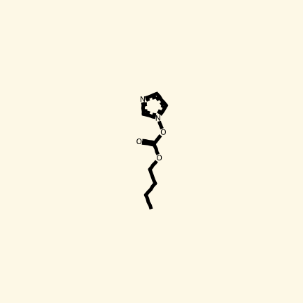 CCCCOC(=O)On1ccnc1